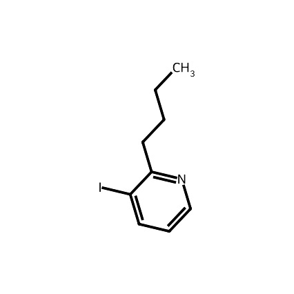 CCCCc1ncccc1I